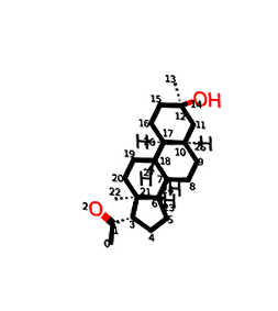 CC(=O)[C@H]1CC[C@H]2[C@@H]3CC[C@@H]4C[C@](C)(O)CC[C@@H]4[C@H]3CC[C@]12C